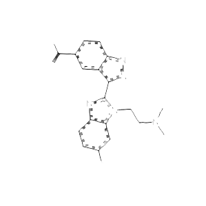 CN(C)CCn1c(-c2n[nH]c3ccc(C(=O)O)cc23)nc2ccc(F)cc21